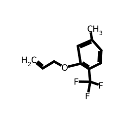 C=CCOc1cc(C)ccc1C(F)(F)F